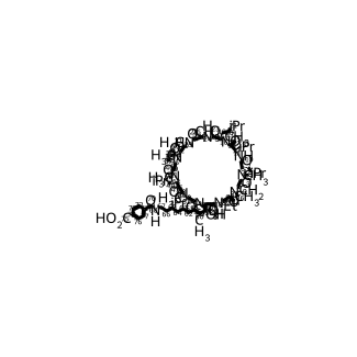 C=C1C(=O)N(C)[C@@H](CC(C)C)C(=O)N[C@H](C(C)C)C(=O)N(C)[C@H](CCC(C)C)C(=O)N[C@H](C)C(=O)N[C@@H](C)C(=O)N(C)[C@@H](CC(C)C)C(=O)N(C)[C@@H](CC(C)C)C(=O)N(C)[C@@H](C(C)C)C(=O)N(C)[C@@H]([C@H](O)[C@H](C)CCCCCCCNC(=O)c2ccc(C(=O)O)cc2)C(=O)N[C@@H](CC)C(=O)N1C